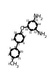 Cc1ccc(-c2ccc(Oc3cc(N)cc(N)c3)cc2)cc1